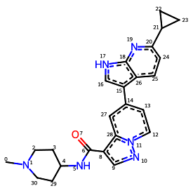 CN1CCC(NC(=O)c2cnn3ccc(-c4c[nH]c5nc(C6CC6)ccc45)cc23)CC1